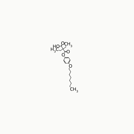 CCCCCCCCOc1ccc(OC(=O)C(CC)(CC)C(=O)O)cc1